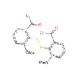 COc1cccc(C(=O)Cl)c1SSc1c(OC)cccc1C(=O)Cl